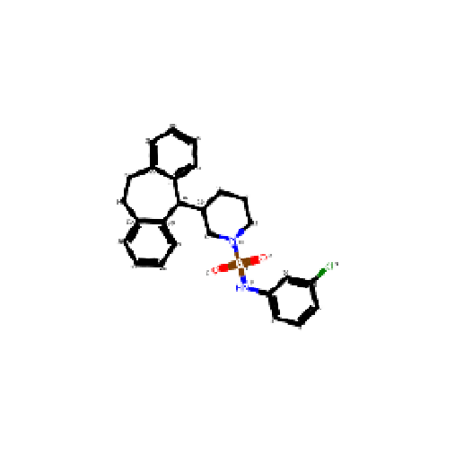 O=S(=O)(Nc1cccc(Cl)c1)N1CCCC(C2c3ccccc3CCc3ccccc32)C1